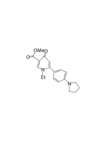 CCn1cc(C(=O)OC)c(=O)cc1-c1ccc(N2CCCC2)cc1